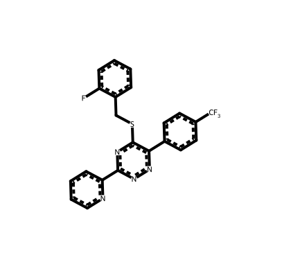 Fc1ccccc1CSc1nc(-c2ccccn2)nnc1-c1ccc(C(F)(F)F)cc1